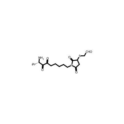 CC(C)[C@H](N)C(=O)C(=O)CCCCCN1C(=O)CC(SCC=O)C1=O